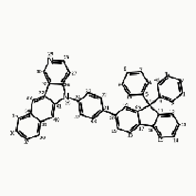 c1ccc(C2(c3ccccc3)c3ccccc3-c3ccc(-c4ccc(-n5c6ccncc6c6cc7ccccc7cc65)cc4)cc32)cc1